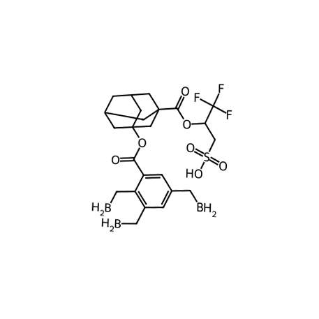 BCc1cc(CB)c(CB)c(C(=O)OC23CC4CC(C2)CC(C(=O)OC(CS(=O)(=O)O)C(F)(F)F)(C4)C3)c1